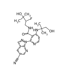 CC(C)(CO)Nc1ccnc(-n2ncc3cc(C#N)cnc32)c1C(=O)NCC(F)C(C)(C)O